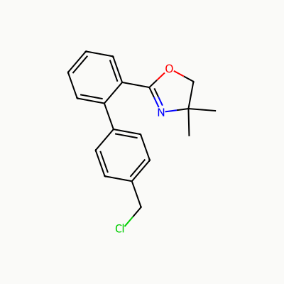 CC1(C)COC(c2ccccc2-c2ccc(CCl)cc2)=N1